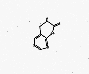 S=C1NCc2cncnc2N1